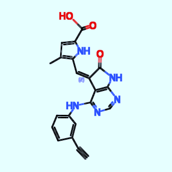 C#Cc1cccc(Nc2ncnc3c2/C(=C/c2[nH]c(C(=O)O)cc2C)C(=O)N3)c1